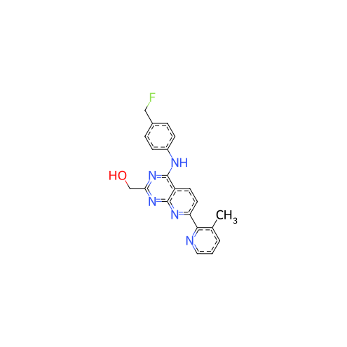 Cc1cccnc1-c1ccc2c(Nc3ccc(CF)cc3)nc(CO)nc2n1